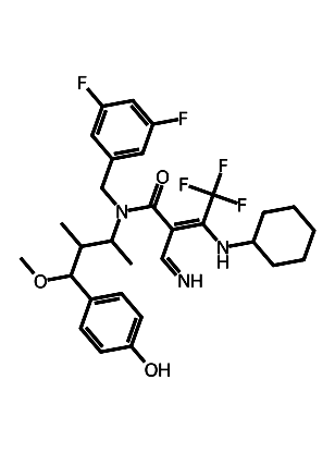 COC(c1ccc(O)cc1)C(C)C(C)N(Cc1cc(F)cc(F)c1)C(=O)/C(C=N)=C(/NC1CCCCC1)C(F)(F)F